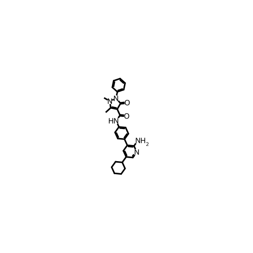 Cc1c(C(=O)Nc2ccc(-c3cc(C4CCCCC4)cnc3N)cc2)c(=O)n(-c2ccccc2)n1C